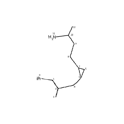 CC(C)CC(C)CC1CC1CCC(C)N